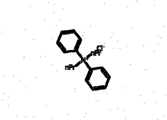 CCC[N+](CCC)(c1ccccc1)c1ccccc1.[Cl-]